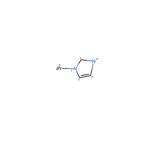 CC(C)N1C=C[N]C1